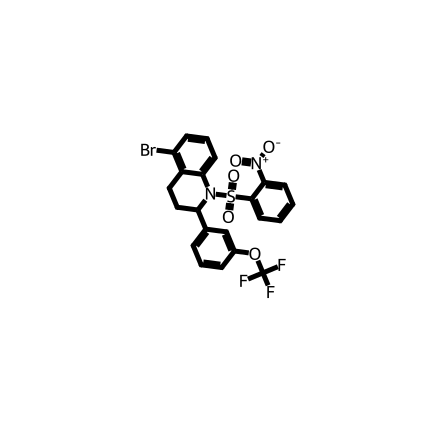 O=[N+]([O-])c1ccccc1S(=O)(=O)N1c2cccc(Br)c2CCC1c1cccc(OC(F)(F)F)c1